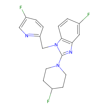 Fc1ccc(Cn2c(N3CCC(F)CC3)nc3cc(F)ccc32)nc1